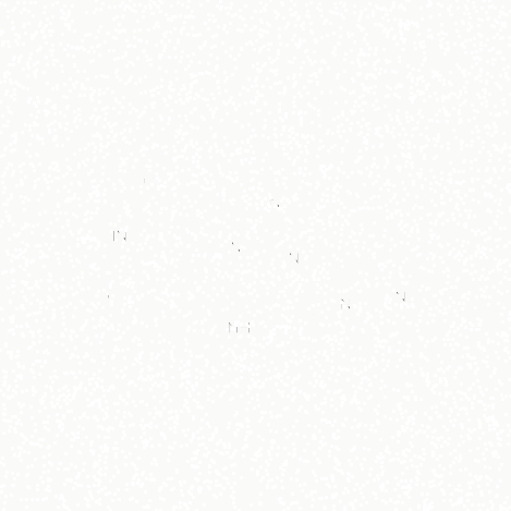 O=C1NC(=O)C(c2c[nH]c3sccc23)=C1c1nc(N2CCn3cncc3C2)nc2ccccc12